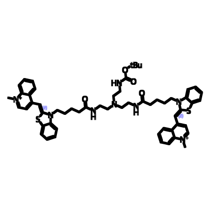 C[n+]1ccc(/C=C2\Sc3ccccc3N2CCCCC(=O)NCCN(CCNC(=O)CCCCN2/C(=C/c3cc[n+](C)c4ccccc34)Sc3ccccc32)CCNC(=O)OC(C)(C)C)c2ccccc21